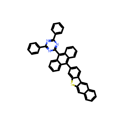 c1ccc(-c2nc(-c3ccccc3)nc(-c3c4ccccc4c(-c4ccc5c(c4)sc4cc6ccccc6cc45)c4ccccc34)n2)cc1